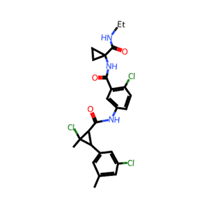 CCNC(=O)C1(NC(=O)c2cc(NC(=O)C3C(c4cc(C)cc(Cl)c4)C3(C)Cl)ccc2Cl)CC1